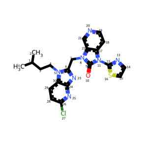 CC(C)CCn1c(Cn2c(=O)n(-c3nccs3)c3ccncc32)nc2nc(Cl)ccc21